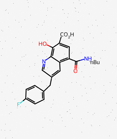 CCCCNC(=O)c1cc(C(=O)O)c(O)c2ncc(Cc3ccc(F)cc3)cc12